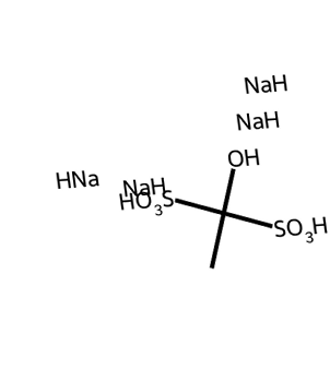 CC(O)(S(=O)(=O)O)S(=O)(=O)O.[NaH].[NaH].[NaH].[NaH]